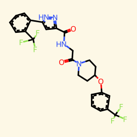 O=C(NCC(=O)N1CCC(Oc2cccc(C(F)(F)F)c2)CC1)c1cc(-c2ccccc2C(F)(F)F)[nH]n1